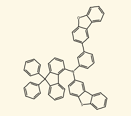 c1ccc(C2(c3ccccc3)c3ccccc3-c3c(N(c4cccc(-c5ccc6oc7ccccc7c6c5)c4)c4ccc5sc6ccccc6c5c4)cccc32)cc1